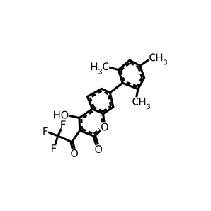 Cc1cc(C)c(-c2ccc3c(O)c(C(=O)C(F)(F)F)c(=O)oc3c2)c(C)c1